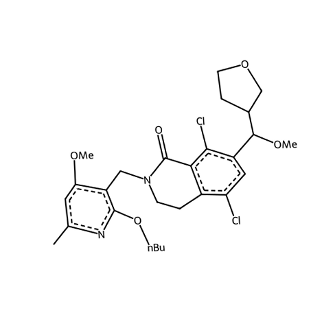 CCCCOc1nc(C)cc(OC)c1CN1CCc2c(Cl)cc(C(OC)C3CCOC3)c(Cl)c2C1=O